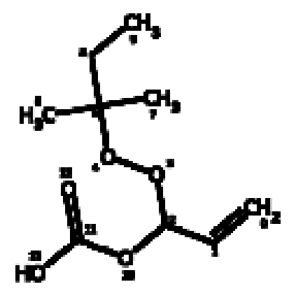 C=CC(OOC(C)(C)CC)OC(=O)O